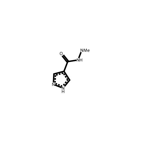 CNNC(=O)c1cn[nH]c1